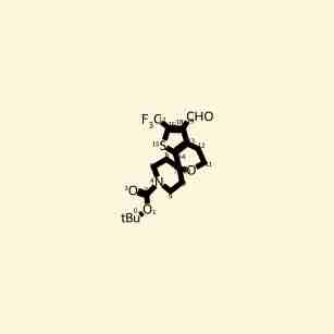 CC(C)(C)OC(=O)N1CCC2(CC1)OCCc1c2sc(C(F)(F)F)c1C=O